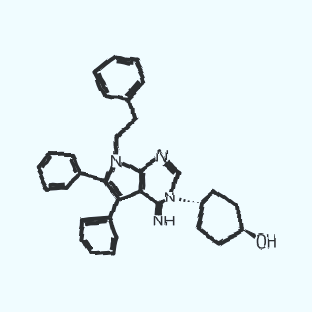 N=c1c2c(-c3ccccc3)c(-c3ccccc3)n(CCc3ccccc3)c2ncn1[C@H]1CC[C@H](O)CC1